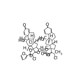 CCC(=O)O[C@]1(C(=O)CCl)[C@@H](C)C[C@H]2[C@@H]3CCC4=CC(=O)C=C[C@]4(C)[C@@]3(F)[C@@H](O)C[C@@]21C.C[C@@H]1C[C@H]2[C@@H]3CCC4=CC(=O)C=C[C@]4(C)[C@@]3(Cl)[C@@H](O)C[C@]2(C)[C@@]1(OC(=O)c1ccco1)C(=O)CCl